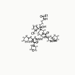 CCC(=O)NCCC[C@@](O)(c1cccc(Cl)c1)[C@@H]1CCCN(C(=O)N[C@H](CNC)CC2CCCCC2)C1.CNC[C@H](CC1CCCCC1)NC(=O)N1CCOCC1